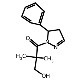 CC(C)(CO)C(=O)N1N=CCC1c1ccccc1